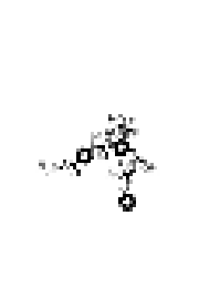 CCOC(=O)c1ccc(NC(=O)Nc2ccc(C[C@@H](CO)NC[C@H](O)COc3ccccc3)cc2)cc1.O=C(O)C(F)(F)F